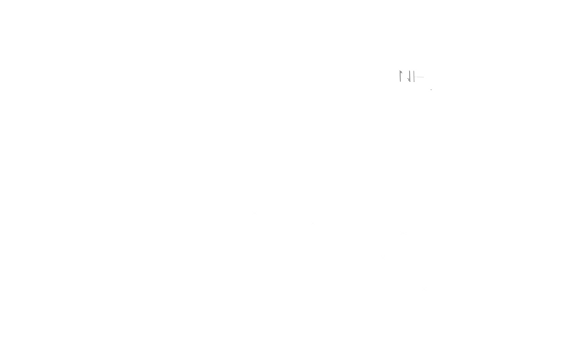 NCc1ccc(-c2ccc3c(-c4ccc5ccccc5c4)c4ccccc4c(-c4ccc5ccccc5c4)c3c2)cc1